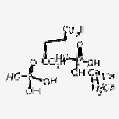 O=C(O)CCC(=O)O.O=P(O)(O)O.O=P(O)(O)O.[CaH2].[CaH2].[CaH2]